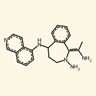 C/C(N)=C1\c2ccccc2C(Nc2cccc3cnccc23)CCN1N